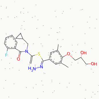 C=C(S/C(=N\N)c1cc(C)c(OC[C@H](O)CO)c(C)c1)N(CC1CC1)C(=O)c1ccccc1F